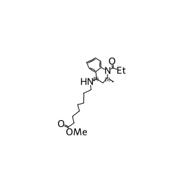 CCC(=O)N1c2ccccc2[C@H](NCCCCCCCC(=O)OC)C[C@@H]1C